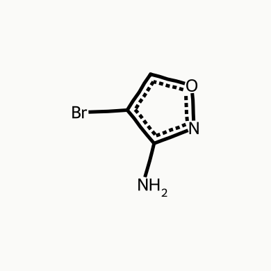 Nc1nocc1Br